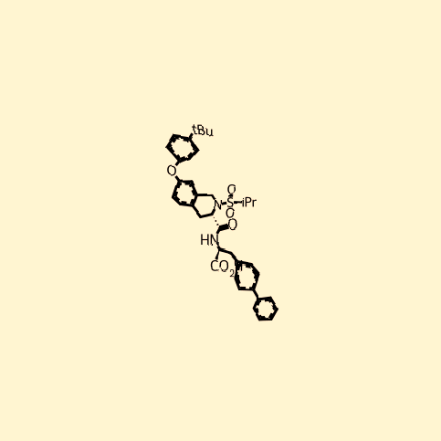 CC(C)S(=O)(=O)N1Cc2cc(Oc3ccc(C(C)(C)C)cc3)ccc2C[C@H]1C(=O)N[C@@H](Cc1ccc(-c2ccccc2)cc1)C(=O)O